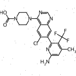 Cc1cc(N)nc(-c2cc3ncnc(N4CCN(C(=O)O)CC4)c3cc2Cl)c1C(F)(F)F